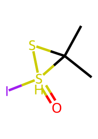 CC1(C)S[SH]1(=O)I